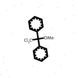 COC(c1ccccc1)(c1ccccc1)C(Cl)(Cl)Cl